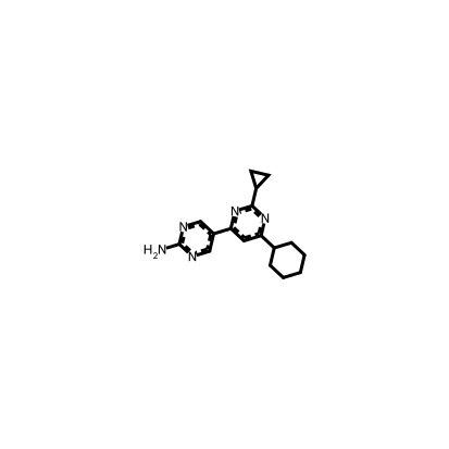 Nc1ncc(-c2cc(C3CCCCC3)nc(C3CC3)n2)cn1